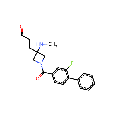 CNC1(CCC=O)CN(C(=O)c2ccc(-c3ccccc3)c(F)c2)C1